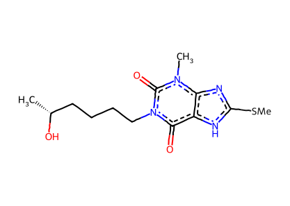 CSc1nc2c([nH]1)c(=O)n(CCCC[C@@H](C)O)c(=O)n2C